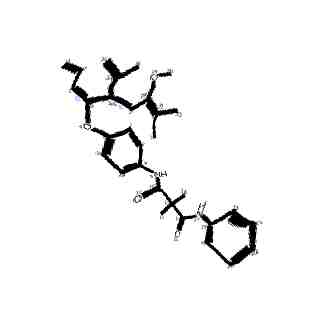 C=C/C=C(Oc1ccc(NC(=O)C(C)(C)C(=O)Nc2ccccc2)cc1)\C(=C\C(OC)=C(C)C)C(=C)C